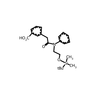 CC(C)(C)[Si](C)(C)OCCN(C(=O)Cc1cccc(C(=O)O)c1)c1ccccc1